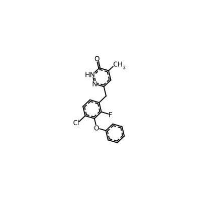 Cc1cc(Cc2ccc(Cl)c(Oc3ccccc3)c2F)n[nH]c1=O